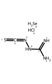 Cl.N=C(N)NN=C=S.[SeH2]